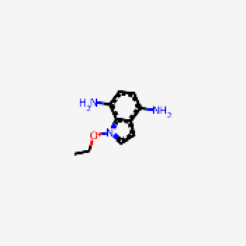 CCOn1ccc2c(N)ccc(N)c21